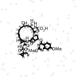 COc1ccc2c(O[C@@H]3C[C@H]4C(=O)N[C@]5(C(=O)NS(=O)(=O)C6(CF)CC6)C[C@H]5C=CCC[C@@H](C)C[C@@H](C)[C@H](NC(=O)O)C(=O)N4C3)nc(OC)nc2c1